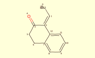 CCC(C)C=C1C(=O)CCc2ccccc21